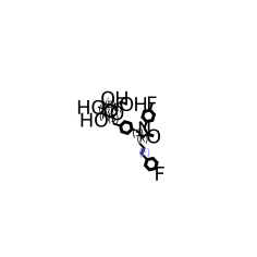 O=C1[C@H](C/C=C/c2ccc(F)cc2)[C@@H](c2ccc(C[C@@H]3O[C@H](CO)[C@@H](O)[C@H](O)[C@H]3O)cc2)N1c1ccc(F)cc1